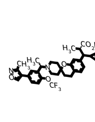 Cc1nocc1-c1ccc(OC(F)(F)F)c([C@@H](C)N2CCC3(CCc4ccc(C(C5CC5)[C@H](C)C(=O)O)cc4O3)CC2)c1